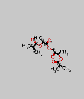 C=C(C)C(=O)OC(C)C(=O)COC(=O)C(C)OC(=O)C(=C)C